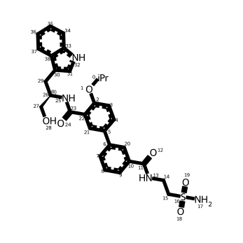 CC(C)Oc1ccc(-c2cccc(C(=O)NCCS(N)(=O)=O)c2)cc1C(=O)N[C@@H](CO)Cc1c[nH]c2ccccc12